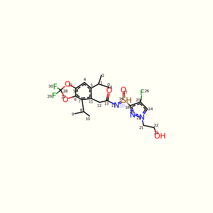 CC(C)c1cc2c(c(C(C)C)c1CC(=O)/N=[SH](=O)/c1nn(CCO)cc1F)OC(F)(F)O2